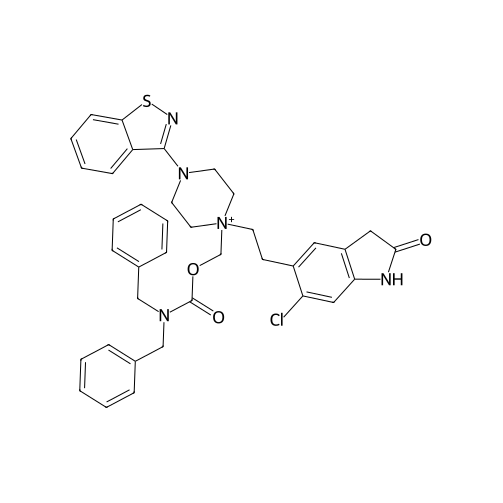 O=C1Cc2cc(CC[N+]3(COC(=O)N(Cc4ccccc4)Cc4ccccc4)CCN(c4nsc5ccccc45)CC3)c(Cl)cc2N1